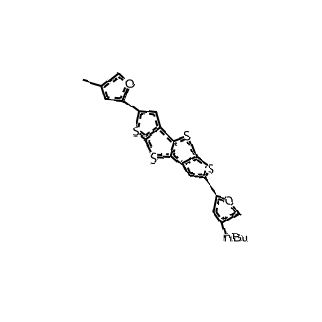 CCCCc1coc(-c2cc3c(s2)sc2c4cc(-c5cc(C)co5)sc4sc32)c1